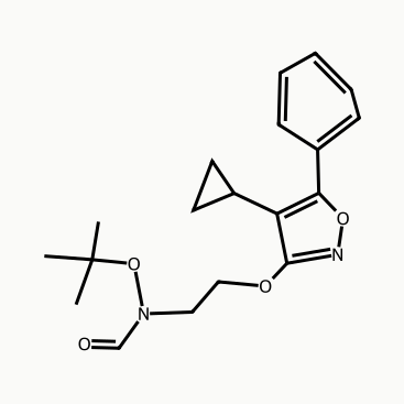 CC(C)(C)ON(C=O)CCOc1noc(-c2ccccc2)c1C1CC1